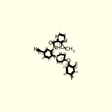 COc1nccnc1C(=O)Nc1cc(C#N)ccc1N1CCC(Oc2ccc(F)cc2F)CC1